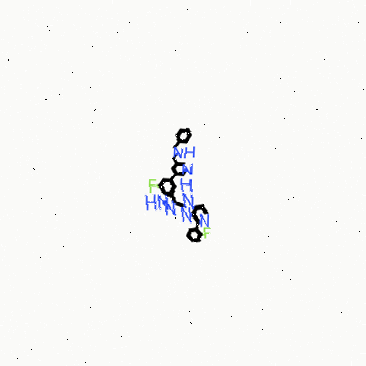 Fc1ccccc1-c1nccc2[nH]c(-c3n[nH]c4c(F)cc(-c5cncc(CNCc6ccccc6)c5)cc34)nc12